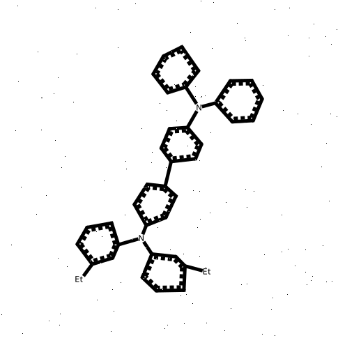 CCc1cccc(N(c2ccc(-c3ccc(N(c4ccccc4)c4ccccc4)cc3)cc2)c2cccc(CC)c2)c1